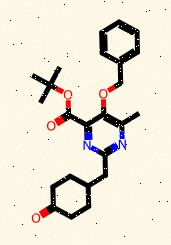 Cc1nc(CC2CCC(=O)CC2)nc(C(=O)OC(C)(C)C)c1OCc1ccccc1